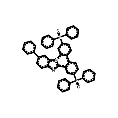 O=P(c1ccccc1)(c1ccccc1)c1ccc2c3ccc(P(=S)(c4ccccc4)c4ccccc4)cc3n3c4cc(-c5ccccc5)ccc4nc3c2c1